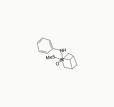 CSN1CC2CC(C1)C2C(=O)Nc1ccccc1